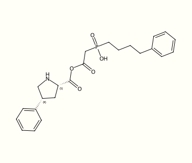 O=C(CP(=O)(O)CCCCc1ccccc1)OC(=O)[C@@H]1C[C@H](c2ccccc2)CN1